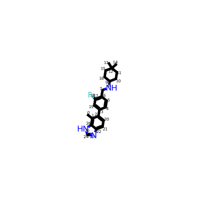 Cc1c(-c2ccc(CNC3CCC(C)(C)CC3)c(F)c2)ccc2nc[nH]c12